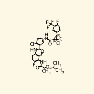 CC(C)COC(C)C(=O)Nc1c(F)ccc(NC(=O)c2cc(NC(=O)[C@H]3[C@H](c4ccc(F)c(C(F)(F)F)c4)C3(Cl)Cl)ccc2Cl)c1F